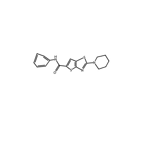 O=C(Nc1ccccc1)c1cc2sc(N3CCCCC3)nc2s1